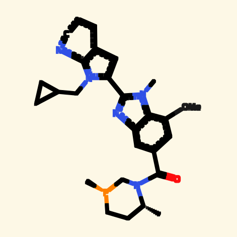 COc1cc(C(=O)N2C[P@](C)CC[C@H]2C)cc2nc(-c3cc4cccnc4n3CC3CC3)n(C)c12